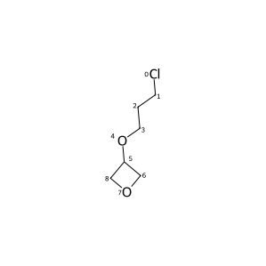 ClCCCOC1COC1